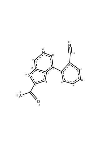 CC(=O)c1cc2c(-c3ccccc3C#N)cncc2s1